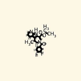 CC(C)OC(=O)C1=CN(C(=O)c2ccc(F)c(F)c2)CC(C)c2c1[nH]c1ncccc21